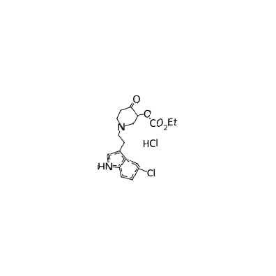 CCOC(=O)OC1CN(CCc2c[nH]c3ccc(Cl)cc23)CCC1=O.Cl